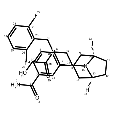 NC(=O)c1cccc([C@H]2C[C@H]3CC[C@@H](C2)N3CCN(Cc2c(F)cccc2F)C(=O)CO)c1